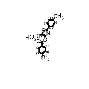 Cc1ccc(-c2nc(OC(=O)c3ccc(C(F)(F)F)cc3)c(C(=O)O)s2)cc1